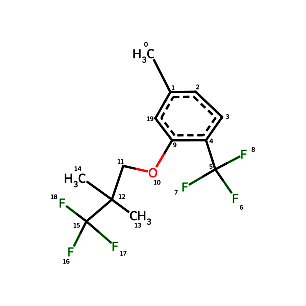 Cc1ccc(C(F)(F)F)c(OCC(C)(C)C(F)(F)F)c1